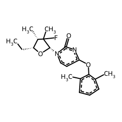 CC[C@H]1O[C@@H](n2ccc(Oc3c(C)cccc3C)nc2=O)C(C)(F)[C@H]1C